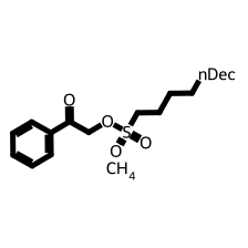 C.CCCCCCCCCCCCCCS(=O)(=O)OCC(=O)c1ccccc1